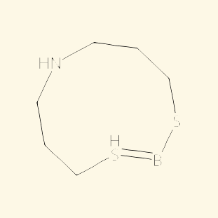 B1=[SH]/CCCNCCCS/1